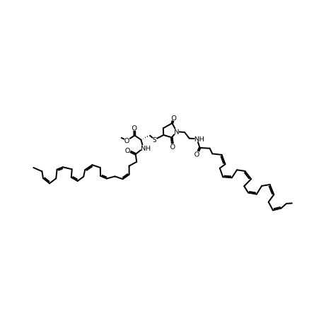 CC/C=C\C/C=C\C/C=C\C/C=C\C/C=C\C/C=C\CCC(=O)NCCN1C(=O)CC(SC[C@H](NC(=O)CC/C=C\C/C=C\C/C=C\C/C=C\C/C=C\C/C=C\CC)C(=O)OC)C1=O